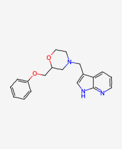 c1ccc(OCC2CN(Cc3c[nH]c4ncccc34)CCO2)cc1